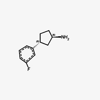 N[C@@H]1CC[C@@H](c2cccc(F)c2)C1